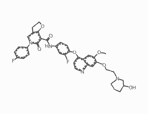 COc1cc2c(Oc3ccc(NC(=O)c4c5c(cn(-c6ccc(F)cc6)c4=O)CCO5)cc3F)ccnc2cc1OCCN1CCCC(O)C1